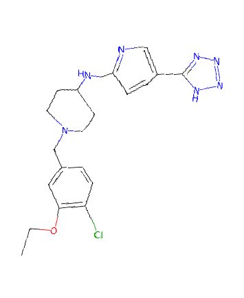 CCOc1cc(CN2CCC(Nc3ccc(-c4nnn[nH]4)cn3)CC2)ccc1Cl